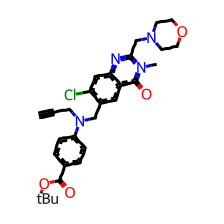 C#CCN(Cc1cc2c(=O)n(C)c(CN3CCOCC3)nc2cc1Cl)c1ccc(C(=O)OC(C)(C)C)cc1